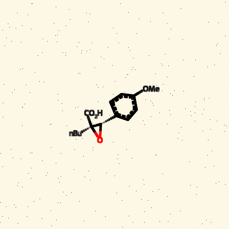 CCCC[C@@]1(C(=O)O)O[C@H]1c1ccc(OC)cc1